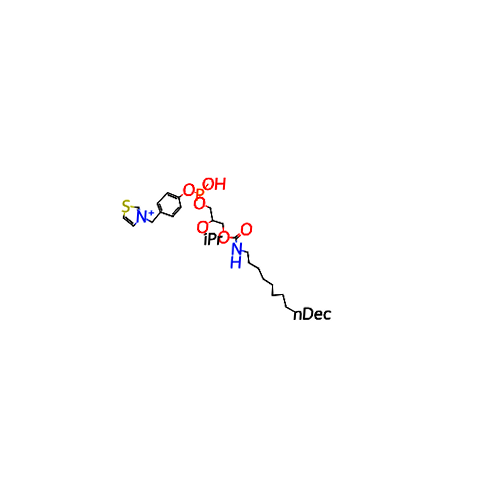 CCCCCCCCCCCCCCCCCCNC(=O)OCC(COP(O)Oc1ccc(C[n+]2ccsc2)cc1)OC(C)C